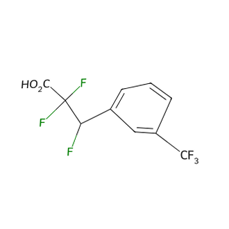 O=C(O)C(F)(F)C(F)c1cccc(C(F)(F)F)c1